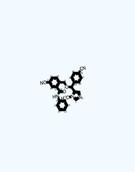 Cn1cncc1C(OCc1ccc(C#N)cc1C(=O)Nc1ccccc1)c1ccc(C#N)cc1